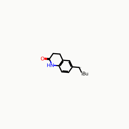 CCC(C)[CH]c1ccc2c(c1)CCC(=O)N2